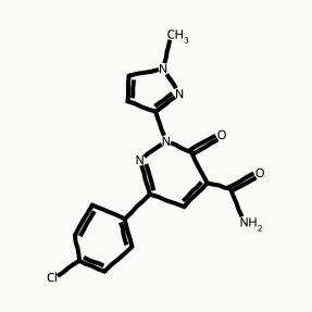 Cn1ccc(-n2nc(-c3ccc(Cl)cc3)cc(C(N)=O)c2=O)n1